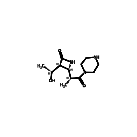 C[C@@H](O)[C@H]1C(=O)N[C@@H]1[C@@H](C)C(=O)N1CCNCC1